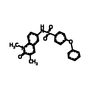 Cc1cc2cc(NS(=O)(=O)c3ccc(Oc4ccccc4)cc3)ccc2n(C)c1=O